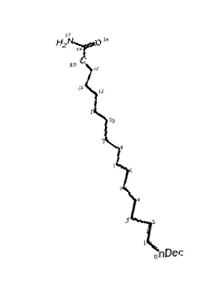 CCCCCCCCCCCCCCCCCCCCCCCCOC(N)=O